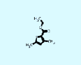 CCOC(=O)c1sc(C)cc1C